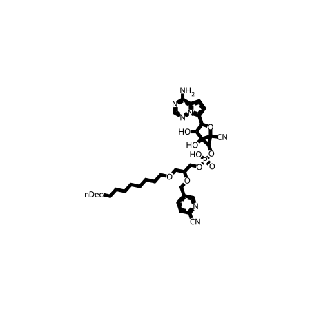 CCCCCCCCCCCCCCCCCCOCC(COP(=O)(O)OC1C2(C#N)OC(c3ccc4c(N)ncnn34)C(O)C12O)OCc1ccc(C#N)nc1